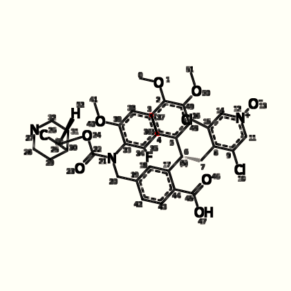 COc1ccc([C@H](Cc2c(Cl)c[n+]([O-])cc2Cl)c2cc(CN(C(=O)O[C@H]3CN4CCC3CC4)c3c(F)cccc3OC)ccc2C(=O)O)cc1OC